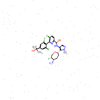 Cn1ncc(NC(O)c2ccc(F)c(-c3c(F)cc(C(C)(C)O)cc3F)n2)c1[C@@H]1CC[C@@H](N)[C@H](F)CO1